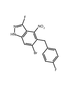 O=[N+]([O-])c1c(Cc2ccc(F)cc2)c(Br)cc2[nH]nc(F)c12